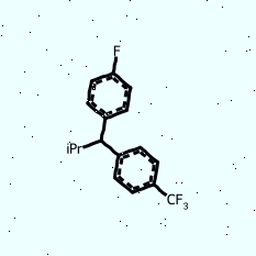 CC(C)C(c1ccc(F)cc1)c1ccc(C(F)(F)F)cc1